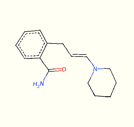 NC(=O)c1ccccc1CC=CN1CCCCC1